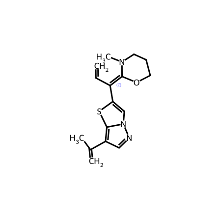 C=C/C(=C1/OCCCN1C)c1cn2ncc(C(=C)C)c2s1